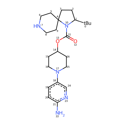 CC(C)(C)C1CCC2(CCNCC2)N1C(=O)OC1CCN(c2ccc(N)nc2)CC1